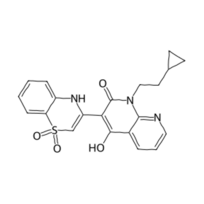 O=c1c(C2=CS(=O)(=O)c3ccccc3N2)c(O)c2cccnc2n1CCC1CC1